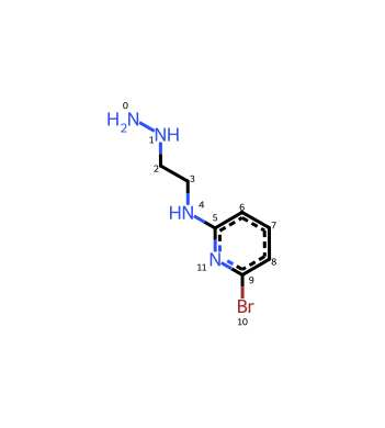 NNCCNc1cccc(Br)n1